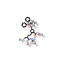 CCC(CCC1=C(C(=O)OC)CC(CO[Si](c2ccccc2)(c2ccccc2)C(C)(C)C)C1)C(C)NC(C)=O